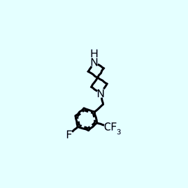 Fc1ccc(CN2CC3(CNC3)C2)c(C(F)(F)F)c1